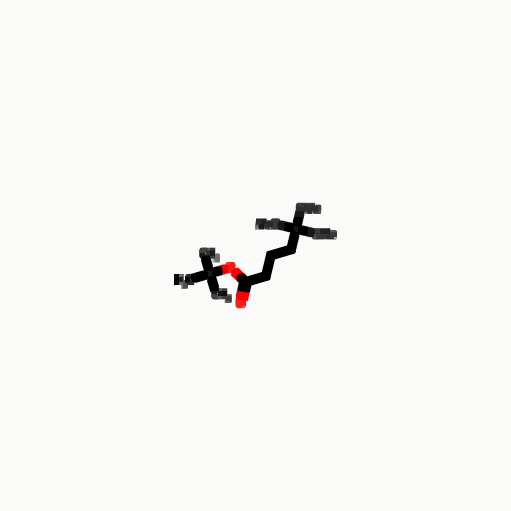 CO[Si](CCCC(=O)O[Si](C)(C)C)(OC)OC